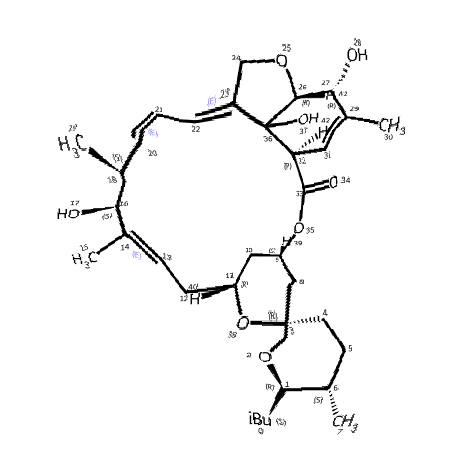 CC[C@H](C)[C@H]1O[C@]2(CC[C@@H]1C)C[C@@H]1C[C@@H](C/C=C(\C)[C@@H](O)[C@@H](C)/C=C/C=C3\CO[C@@H]4[C@H](O)C(C)=C[C@@H](C(=O)O1)C34O)O2